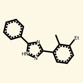 CCc1cccc(-c2n[nH]c(-c3ccccc3)n2)c1C